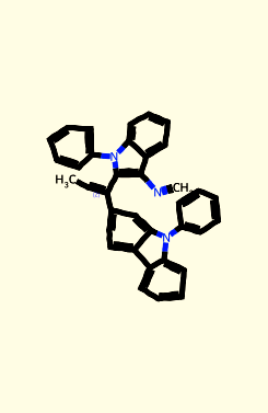 C=Nc1c(/C(=C\C)c2ccc3c4ccccc4n(-c4ccccc4)c3c2)n(-c2ccccc2)c2ccccc12